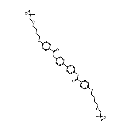 CC1(COCCCCOc2ccc(C(=O)Oc3ccc(-c4ccc(OC(=O)c5ccc(OCCCCOCC6(C)CO6)cc5)cc4)cc3)cc2)CO1